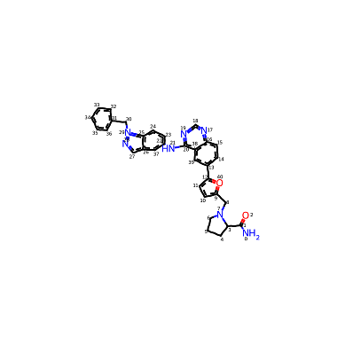 NC(=O)C1CCCN1Cc1ccc(-c2ccc3ncnc(Nc4ccc5c(cnn5Cc5ccccc5)c4)c3c2)o1